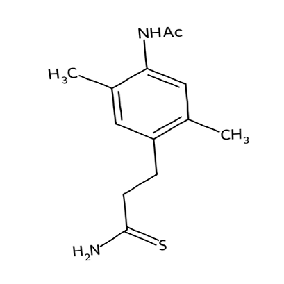 CC(=O)Nc1cc(C)c(CCC(N)=S)cc1C